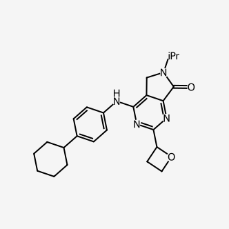 CC(C)N1Cc2c(Nc3ccc(C4CCCCC4)cc3)nc(C3CCO3)nc2C1=O